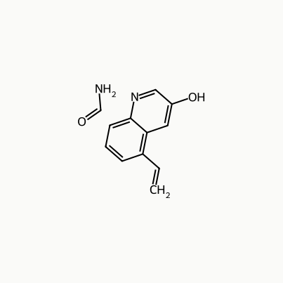 C=Cc1cccc2ncc(O)cc12.NC=O